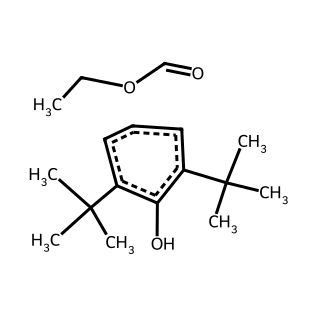 CC(C)(C)c1cccc(C(C)(C)C)c1O.CCOC=O